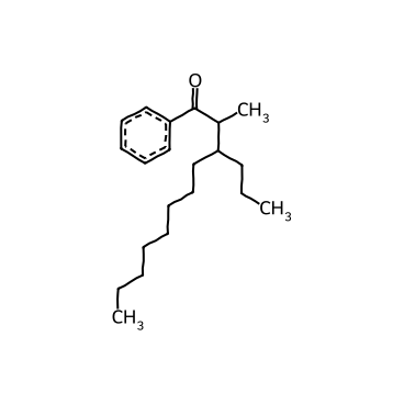 CCCCCCCCC(CCC)C(C)C(=O)c1ccccc1